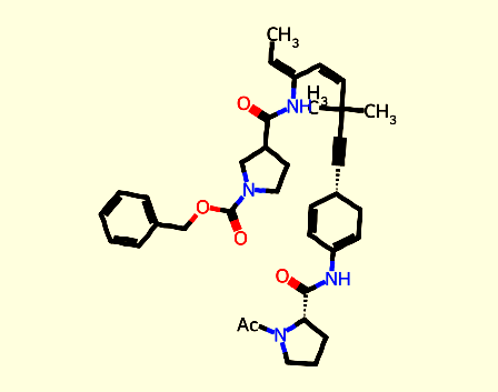 C/C=C(\C=C/C(C)(C)C#C[C@H]1C=CC(NC(=O)[C@@H]2CCCN2C(C)=O)=CC1)NC(=O)C1CCN(C(=O)OCc2ccccc2)C1